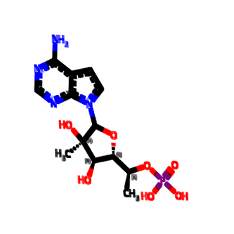 C[C@H](OP(=O)(O)O)[C@H]1OC(n2ccc3c(N)ncnc32)[C@](C)(O)[C@@H]1O